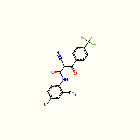 Cc1cc(Cl)ccc1NC(=O)C(C#N)C(=O)c1ccc(C(F)(F)F)cc1